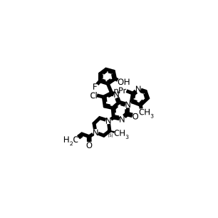 C=CC(=O)N1CCN(c2nc(=O)n(-c3c(C)ccnc3CCC)c3nc(-c4c(O)cccc4F)c(Cl)cc23)[C@@H](C)C1